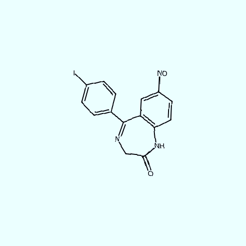 O=Nc1ccc2c(c1)C(c1ccc(I)cc1)=NCC(=O)N2